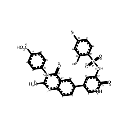 Nc1nc2ccc(-c3c[nH]c(=O)c(NS(=O)(=O)c4ccc(F)cc4F)c3)cc2c(=O)n1-c1ccc(C(=O)O)cc1